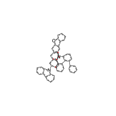 c1ccc(-c2ccccc2-c2c(-c3ccccc3)cccc2N(c2ccc(-n3c4ccccc4c4ccccc43)cc2)c2ccc3oc4ccccc4c3c2)cc1